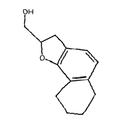 OCC1Cc2ccc3c(c2O1)CCCC3